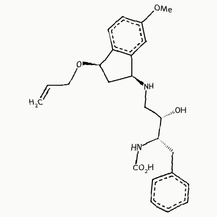 C=CCO[C@@H]1C[C@H](NC[C@H](O)[C@H](Cc2ccccc2)NC(=O)O)c2cc(OC)ccc21